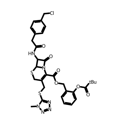 Cn1nnnc1SCC1=C(C(=O)OCc2ccccc2OC(=O)C(C)(C)C)N2C(=O)C(NC(=O)Cc3ccc(CCl)cc3)C2SC1